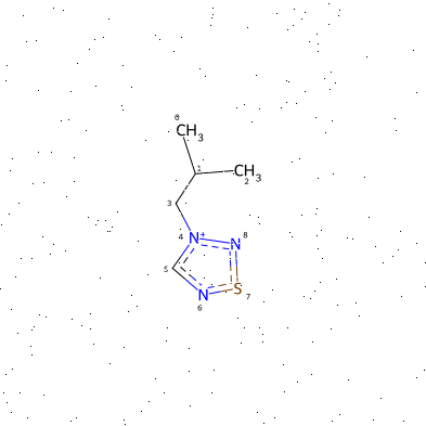 CC(C)C[n+]1cnsn1